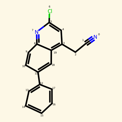 N#CCc1cc(Cl)nc2ccc(-c3ccccc3)cc12